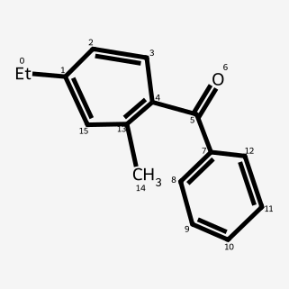 CCc1ccc(C(=O)c2ccccc2)c(C)c1